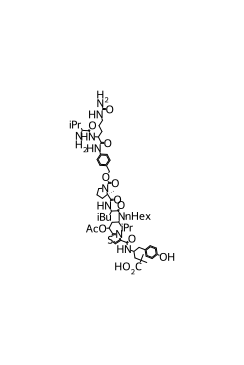 CCCCCCN(C(=O)C(NC(=O)[C@@]1(C)CCCN1C(=O)OCc1ccc(NC(=O)C(CCCNC(N)=O)NC(=O)C(N)C(C)C)cc1)C(C)CC)C(CC(OC(C)=O)c1nc(C(=O)NC(Cc2ccc(O)cc2)CC(C)(C)C(=O)O)cs1)C(C)C